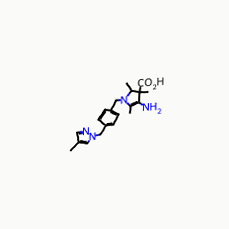 CC1=C(N)C(C)(C(=O)O)C(C)N1Cc1ccc(Cn2cc(C)cn2)cc1